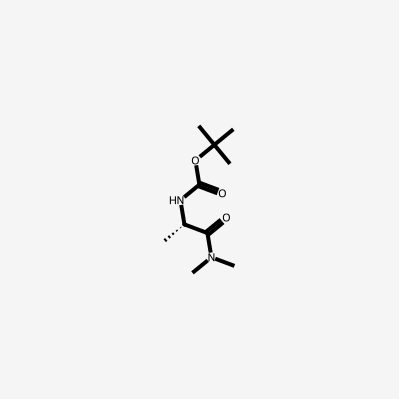 C[C@H](NC(=O)OC(C)(C)C)C(=O)N(C)C